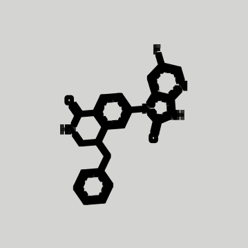 O=C1NCC(Cc2ccccc2)c2cc(-n3c(=O)[nH]c4ncc(F)cc43)ccc21